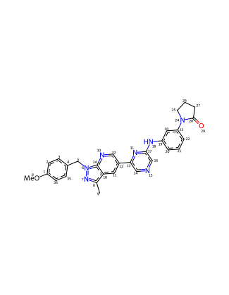 COc1ccc(Cn2nc(C)c3cc(-c4cncc(Nc5cccc(N6CCCC6=O)c5)n4)cnc32)cc1